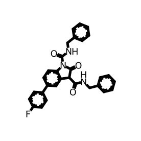 O=C(NCc1ccccc1)C1C(=O)N(C(=O)NCc2ccccc2)c2ccc(-c3ccc(F)cc3)cc21